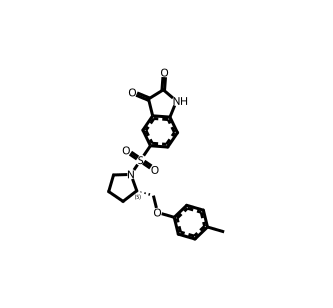 Cc1ccc(OC[C@@H]2CCCN2S(=O)(=O)c2ccc3c(c2)C(=O)C(=O)N3)cc1